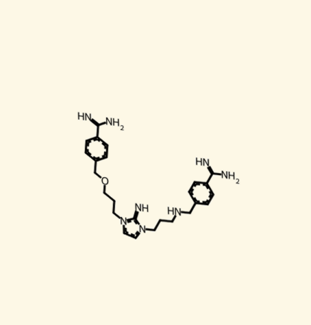 N=C(N)c1ccc(CNCCCn2ccn(CCCOCc3ccc(C(=N)N)cc3)c2=N)cc1